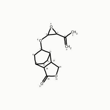 C=C(C)C1OC1OC1CC2CCC1C1COC(=O)C21